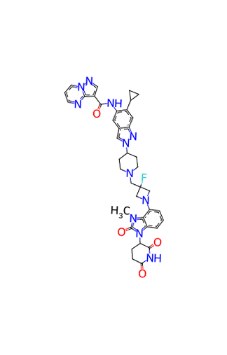 Cn1c(=O)n(C2CCC(=O)NC2=O)c2cccc(N3CC(F)(CN4CCC(n5cc6cc(NC(=O)c7cnn8cccnc78)c(C7CC7)cc6n5)CC4)C3)c21